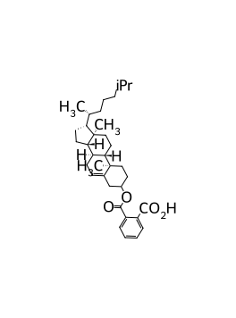 CC(C)CCC[C@@H](C)[C@H]1CC[C@H]2[C@@H]3CC=C4CC(OC(=O)c5ccccc5C(=O)O)CC[C@]4(C)[C@H]3CC[C@]12C